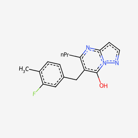 CCCc1nc2ccnn2c(O)c1Cc1ccc(C)c(F)c1